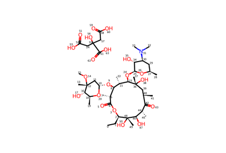 CC[C@H]1OC(=O)[C@H](C)[C@@H](O[C@H]2C[C@@](C)(OC)[C@@H](O)[C@H](C)O2)[C@H](C)[C@@H](O[C@@H]2O[C@H](C)C[C@H](N(C)C)[C@H]2O)[C@](C)(O)C[C@@H](C)C(=O)[C@H](C)[C@@H](O)[C@]1(C)O.O=C(O)CC(O)(CC(=O)O)C(=O)O